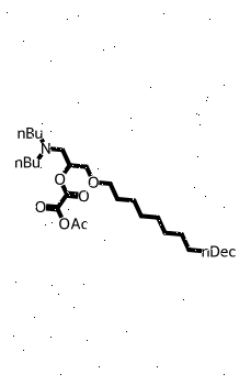 CCCCCCCCCCCCCCCCCCOCC(CN(CCCC)CCCC)OC(=O)C(=O)OC(C)=O